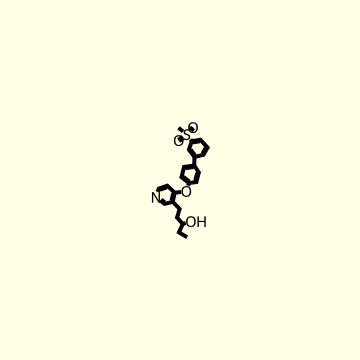 CCC(O)CCc1cnccc1Oc1ccc(-c2cccc(S(C)(=O)=O)c2)cc1